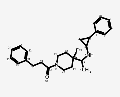 CC(NC1CC1c1ccccc1)C1(F)CCN(C(=O)CCc2ccccc2)CC1